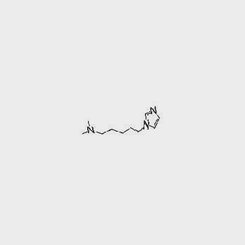 CN(C)CCCCCn1ccnc1